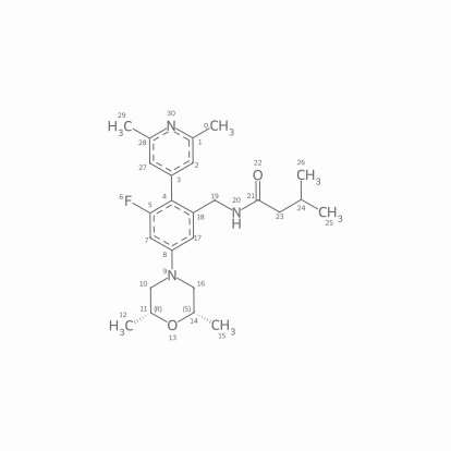 Cc1cc(-c2c(F)cc(N3C[C@@H](C)O[C@@H](C)C3)cc2CNC(=O)CC(C)C)cc(C)n1